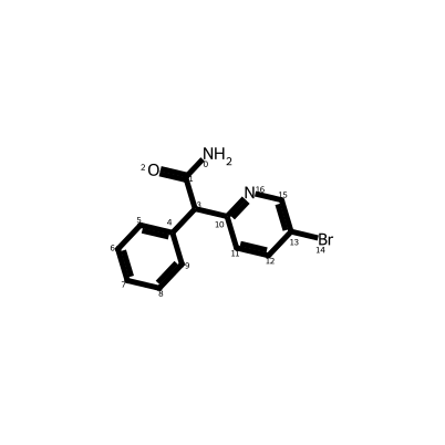 NC(=O)C(c1ccccc1)c1ccc(Br)cn1